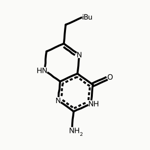 CCC(C)CC1=Nc2c(nc(N)[nH]c2=O)NC1